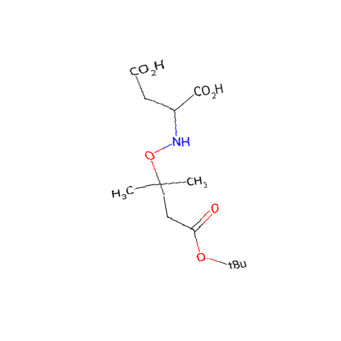 CC(C)(C)OC(=O)CC(C)(C)ONC(CC(=O)O)C(=O)O